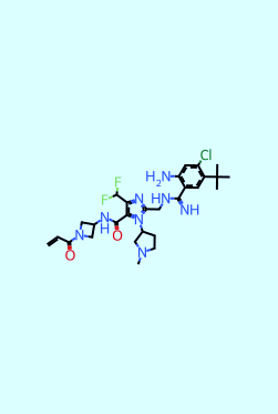 C=CC(=O)N1CC(NC(=O)c2c(C(F)F)nc(CNC(=N)c3cc(C(C)(C)C)c(Cl)cc3N)n2C2CCN(C)C2)C1